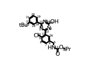 CC(C)OC(=O)NCc1ccc(Cl)c(-c2nc(O)nc(-c3cccc(C(C)(C)C)c3)n2)c1